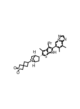 Cc1c(-c2[nH]c3sc([C@@H]4C[C@@H]5C[C@H]4CN5C4CC5(C4)CS(=O)(=O)C5)c(C)c3c2C(C)C)cn2ncnc2c1C